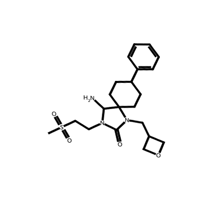 CS(=O)(=O)CCN1C(=O)N(CC2COC2)C2(CCC(c3ccccc3)CC2)C1N